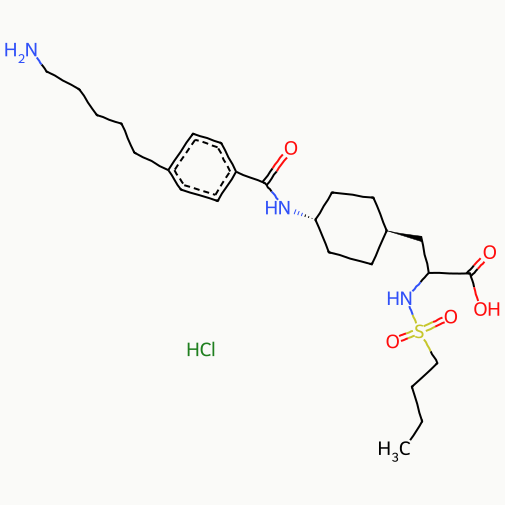 CCCCS(=O)(=O)NC(C[C@H]1CC[C@H](NC(=O)c2ccc(CCCCCN)cc2)CC1)C(=O)O.Cl